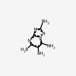 Bc1nc2nc(B)c(B)c(N)n2n1